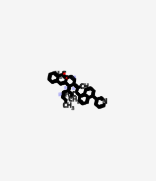 C=C\C=C/C(=C(\C)C(C)c1cccc2c(-c3cccnc3)cccc12)C(=C(/C=C\CC)CC)/c1ccc2ccccc2c1